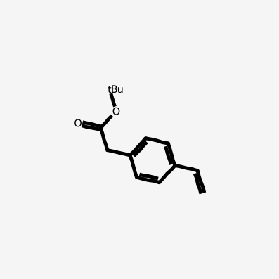 C=Cc1ccc(CC(=O)OC(C)(C)C)cc1